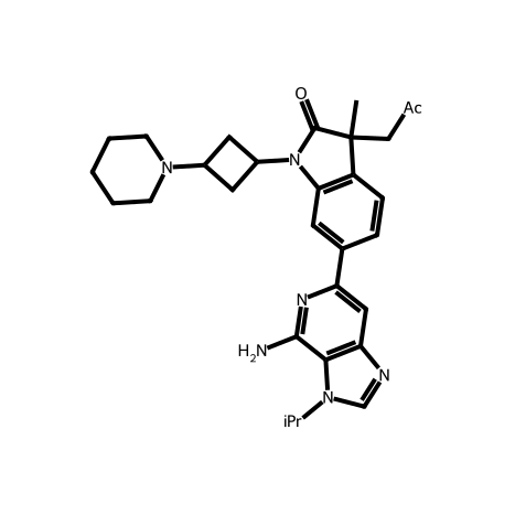 CC(=O)CC1(C)C(=O)N(C2CC(N3CCCCC3)C2)c2cc(-c3cc4ncn(C(C)C)c4c(N)n3)ccc21